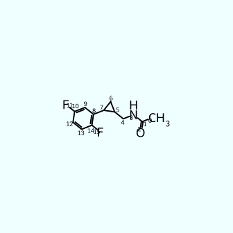 CC(=O)NCC1CC1c1cc(F)ccc1F